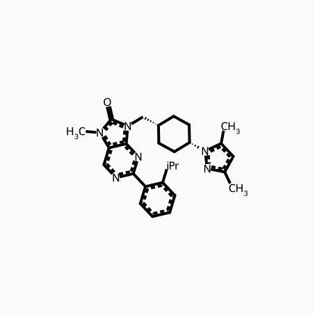 Cc1cc(C)n([C@H]2CC[C@@H](Cn3c(=O)n(C)c4cnc(-c5ccccc5C(C)C)nc43)CC2)n1